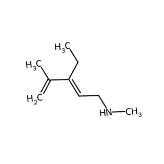 C=C(C)/C(=C/CNC)CC